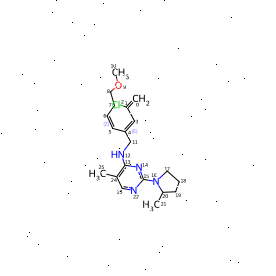 C=C(Cl)/C=C(\C=C/CCOC)CNc1nc(N2CCCC2C)ncc1C